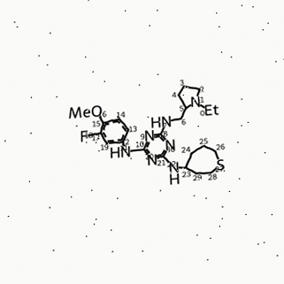 CCN1CCCC1CNc1nc(Nc2ccc(OC)c(F)c2)nc(NC2CCCSCC2)n1